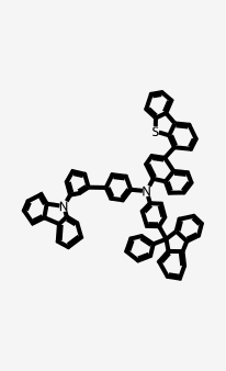 c1ccc(C2(c3ccc(N(c4ccc(-c5cccc(-n6c7ccccc7c7ccccc76)c5)cc4)c4ccc(-c5cccc6c5sc5ccccc56)c5ccccc45)cc3)c3ccccc3-c3ccccc32)cc1